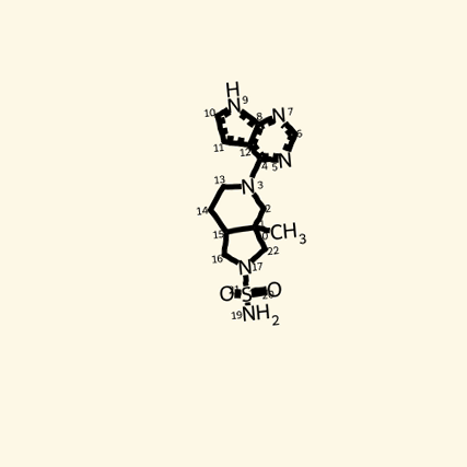 CC12CN(c3ncnc4[nH]ccc34)CCC1CN(S(N)(=O)=O)C2